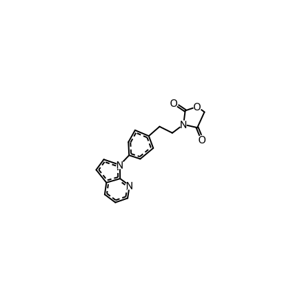 O=C1COC(=O)N1CCc1ccc(-n2ccc3cccnc32)cc1